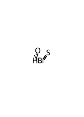 [O]=[Y].[S]=[BiH]